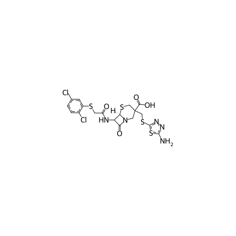 Nc1nnc(SCC2(C(=O)O)CS[C@@H]3C(NC(=O)CSc4cc(Cl)ccc4Cl)C(=O)N3C2)s1